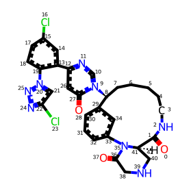 O=C1NCCCCC[C@H](n2cnc(-c3cc(Cl)ccc3-n3cc(Cl)nn3)cc2=O)c2cccc(c2)N2C(=O)CNC[C@H]12